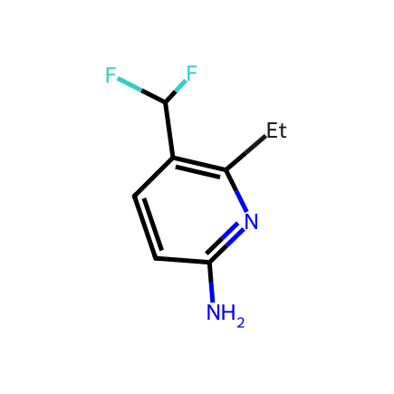 CCc1nc(N)ccc1C(F)F